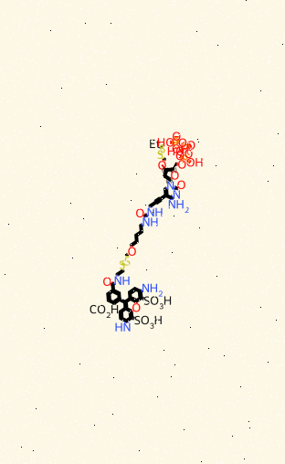 CCSSCO[C@@H]1C[C@H](n2cc(C#CCNC(=O)NCCCCCOCSSCCNC(=O)c3ccc(C(=O)O)c(-c4c5ccc(=N)c(S(=O)(=O)O)c-5oc5c(S(=O)(=O)O)c(N)ccc45)c3)c(N)nc2=O)O[C@@H]1COP(=O)(O)OP(=O)(O)OP(=O)(O)O